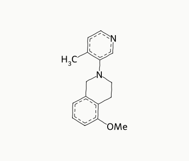 COc1cccc2c1CCN(c1cnccc1C)C2